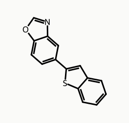 c1ccc2sc(-c3ccc4ocnc4c3)cc2c1